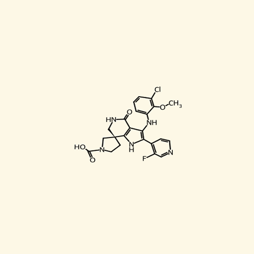 COc1c(Cl)cccc1Nc1c(-c2ccncc2F)[nH]c2c1C(=O)NC[C@]21CCN(C(=O)O)C1